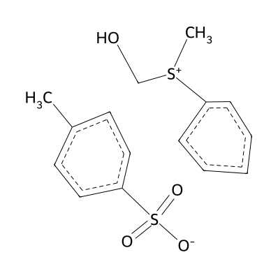 C[S+](CO)c1ccccc1.Cc1ccc(S(=O)(=O)[O-])cc1